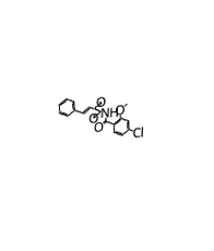 COc1cc(Cl)ccc1C(=O)NS(=O)(=O)/C=C/c1ccccc1